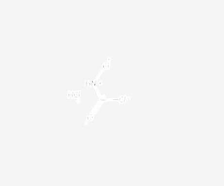 Cl.O=C(Cl)NCl